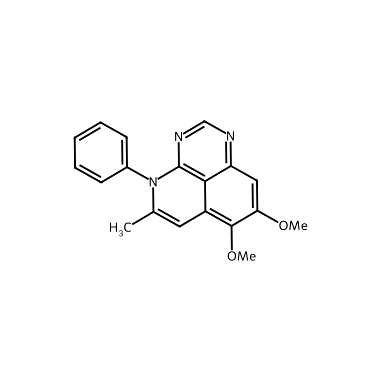 COc1cc2ncnc3c2c(c1OC)C=C(C)N3c1ccccc1